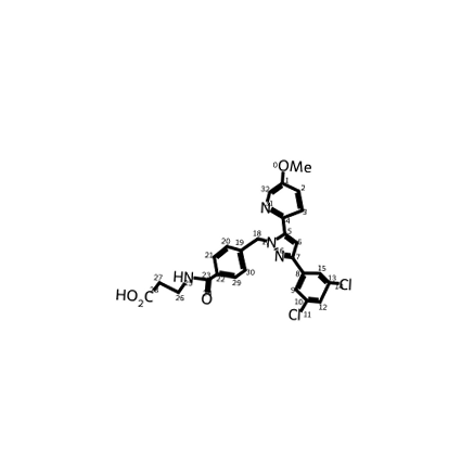 COc1ccc(-c2cc(-c3cc(Cl)cc(Cl)c3)nn2Cc2ccc(C(=O)NCCC(=O)O)cc2)nc1